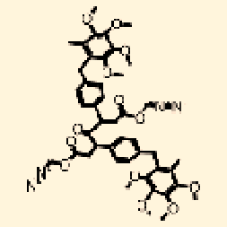 COc1c(C)c(Cc2ccc(C(CC(=O)OC=[N+]=[N-])C(=O)C(CC(=O)OC=[N+]=[N-])c3ccc(Cc4c(C)c(OC)c(OC)c(OC)c4OC)cc3)cc2)c(OC)c(OC)c1OC